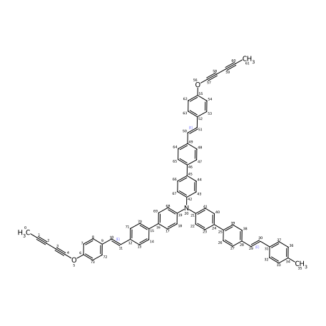 CC#CC#COc1ccc(/C=C/c2ccc(-c3ccc(N(c4ccc(-c5ccc(/C=C/c6ccc(C)cc6)cc5)cc4)c4ccc(-c5ccc(/C=C/c6ccc(OC#CC#CC)cc6)cc5)cc4)cc3)cc2)cc1